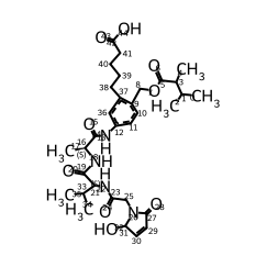 CC(C)C(C)C(=O)OCc1ccc(NC(=O)[C@H](C)NC(=O)[C@@H](NC(=O)CN2C(=O)C=CC2O)C(C)C)cc1CCCCC(=O)O